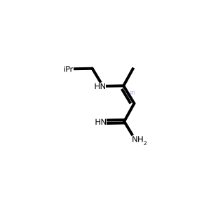 C/C(=C/C(=N)N)NCC(C)C